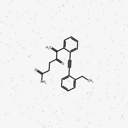 C=C(C(=O)CCC(N)=O)c1ccccc1C#Cc1ccccc1CC